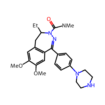 CCC1Cc2cc(OC)c(OC)cc2C(c2ccc(N3CCNCC3)cc2)=NN1C(=O)NC